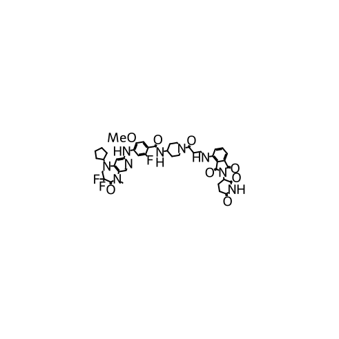 COc1cc(C(=O)NC2CCN(C(=O)CCNc3cccc4c3C(=O)N(C3CCC(=O)NC3=O)C4=O)CC2)c(F)cc1Nc1cc2c(cn1)N(C)C(=O)C(F)(F)CN2C1CCCC1